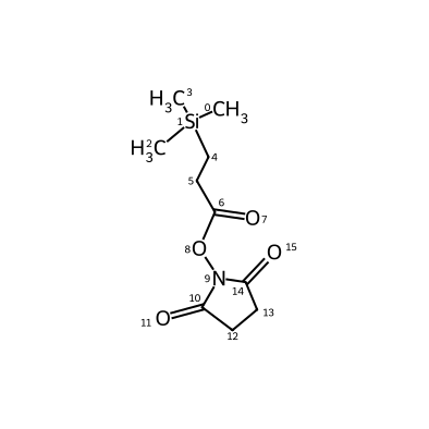 C[Si](C)(C)CCC(=O)ON1C(=O)CCC1=O